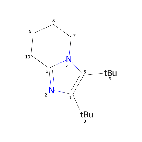 CC(C)(C)c1nc2n(c1C(C)(C)C)CCCC2